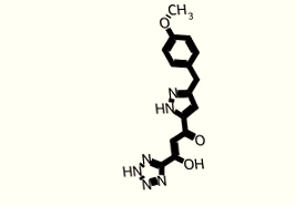 COc1ccc(Cc2cc(C(=O)C=C(O)c3nn[nH]n3)[nH]n2)cc1